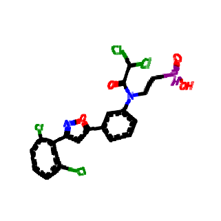 O=C(C(Cl)Cl)N(CC[PH](=O)O)c1cccc(-c2cc(-c3c(Cl)cccc3Cl)no2)c1